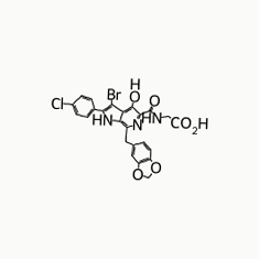 O=C(O)CNC(=O)c1nc(Cc2ccc3c(c2)OCO3)c2[nH]c(-c3ccc(Cl)cc3)c(Br)c2c1O